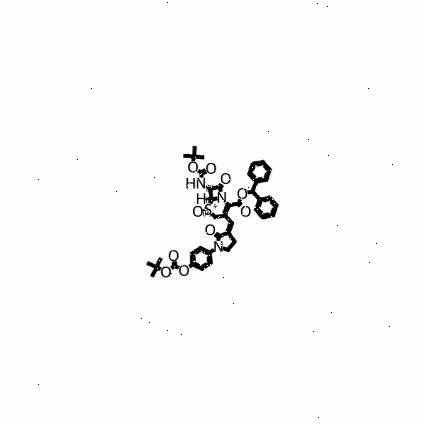 CC(C)(C)OC(=O)N[C@@H]1C(=O)N2C(C(=O)OC(c3ccccc3)c3ccccc3)=C(C=C3CCN(c4ccc(OC(=O)OC(C)(C)C)cc4)C3=O)C[S@+]([O-])[C@H]12